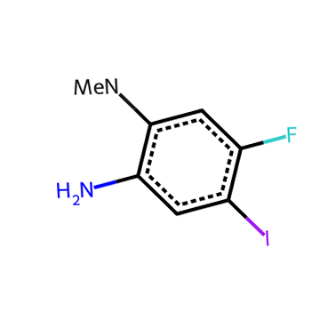 CNc1cc(F)c(I)cc1N